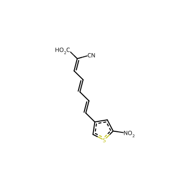 N#C\C(=C/C=C/C=C/c1csc([N+](=O)[O-])c1)C(=O)O